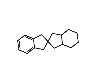 c1ccc2c(c1)CC1(C2)CC2CCCCC2C1